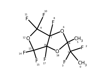 CC(F)(F)C1(C)OC2(F)C(F)(F)OC(F)(F)C2(F)O1